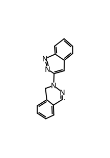 [C]1=NN(c2cc3ccccc3nn2)Cc2ccccc21